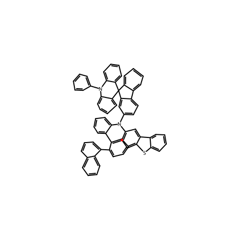 c1ccc(N2c3ccccc3C3(c4ccccc4-c4ccc(N(c5ccc6sc7ccccc7c6c5)c5ccccc5-c5ccccc5-c5cccc6ccccc56)cc43)c3ccccc32)cc1